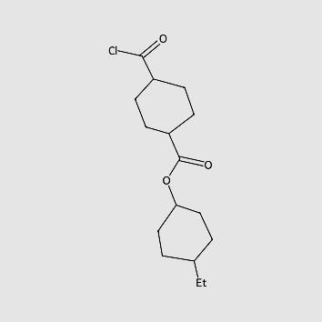 CCC1CCC(OC(=O)C2CCC(C(=O)Cl)CC2)CC1